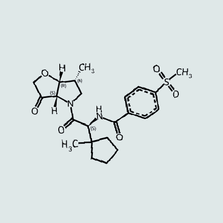 C[C@@H]1CN(C(=O)[C@@H](NC(=O)c2ccc(S(C)(=O)=O)cc2)C2(C)CCCC2)[C@@H]2C(=O)CO[C@H]12